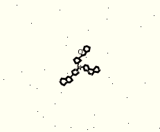 c1cc(-c2cc3ccccc3o2)cc(N(c2ccc(-c3ccc4ccccc4c3)cc2)c2ccc3c(ccc4ccccc43)c2)c1